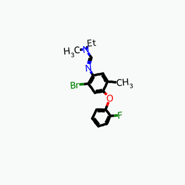 CCN(C)C=Nc1cc(C)c(Oc2ccccc2F)cc1Br